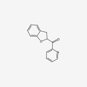 O=C(c1ccccn1)C1Cc2ccccc2O1